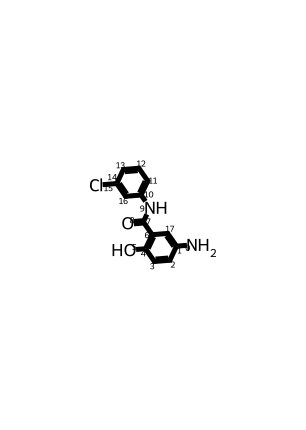 Nc1ccc(O)c(C(=O)Nc2cccc(Cl)c2)c1